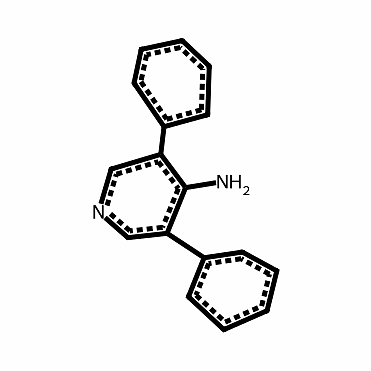 Nc1c(-c2ccccc2)cncc1-c1ccccc1